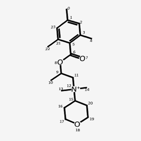 Cc1cc(C)c(C(=O)OC(C)C[N+](C)(C)C2CCOCC2)c(C)c1